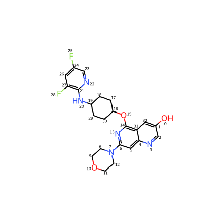 Oc1cnc2cc(N3CCOCC3)nc(OC3CCC(Nc4ncc(F)cc4F)CC3)c2c1